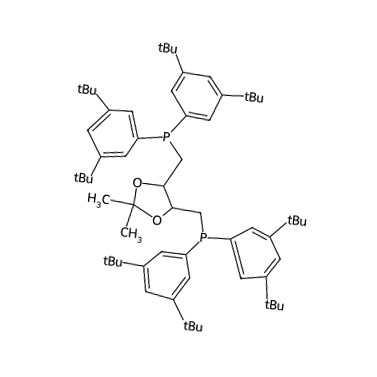 CC1(C)OC(CP(c2cc(C(C)(C)C)cc(C(C)(C)C)c2)c2cc(C(C)(C)C)cc(C(C)(C)C)c2)C(CP(c2cc(C(C)(C)C)cc(C(C)(C)C)c2)c2cc(C(C)(C)C)cc(C(C)(C)C)c2)O1